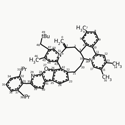 C=C1CC2c3cc(C)ccc3-c3cc(C)c(C)c[n+]3C2CCc2ccc3c(oc4nc(-c5c(C(C)C)cccc5C(C)C)ccc43)c2-c2cc(C)c(CC(C)(C)C)c[n+]21